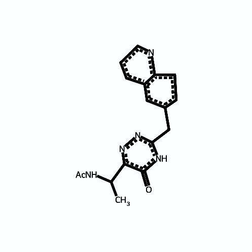 CC(=O)NC(C)c1nnc(Cc2ccc3ncccc3c2)[nH]c1=O